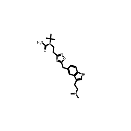 CN(C)CCc1c[nH]c2ccc(Cc3nc(CCN(C(N)=O)C(C)(C)C)no3)cc12